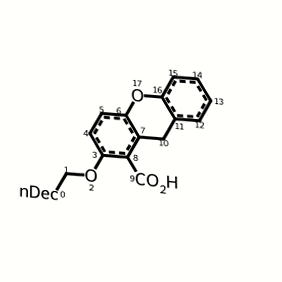 CCCCCCCCCCCOc1ccc2c(c1C(=O)O)Cc1ccccc1O2